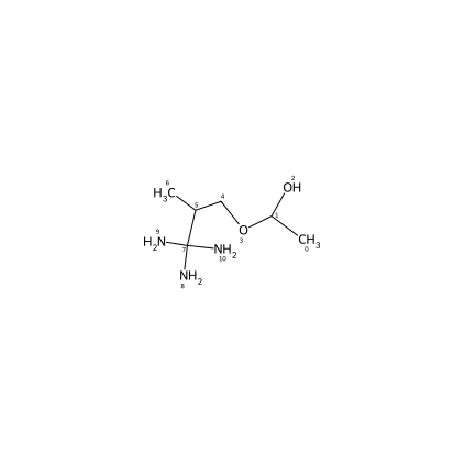 CC(O)OCC(C)C(N)(N)N